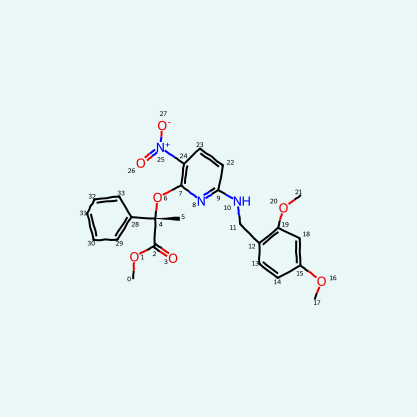 COC(=O)[C@@](C)(Oc1nc(NCc2ccc(OC)cc2OC)ccc1[N+](=O)[O-])c1ccccc1